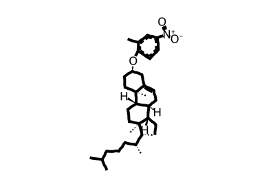 Cc1cc([N+](=O)[O-])ccc1O[C@H]1CC[C@@]2(C)C(=CC[C@H]3[C@@H]4CC[C@H]([C@H](C)CCCC(C)C)[C@@]4(C)CC[C@@H]32)C1